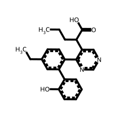 CCCC(C(=O)O)c1cncnc1-c1ccc(CC)cc1-c1ccccc1O